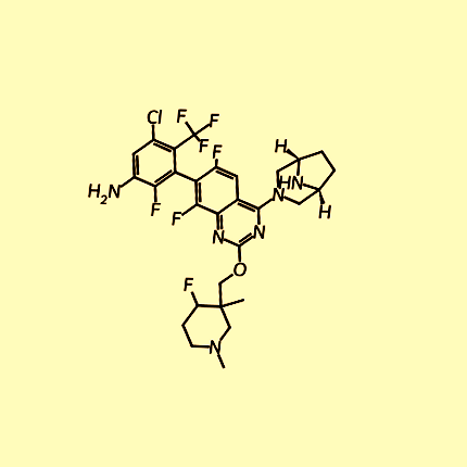 CN1CCC(F)C(C)(COc2nc(N3C[C@H]4CC[C@@H](C3)N4)c3cc(F)c(-c4c(F)c(N)cc(Cl)c4C(F)(F)F)c(F)c3n2)C1